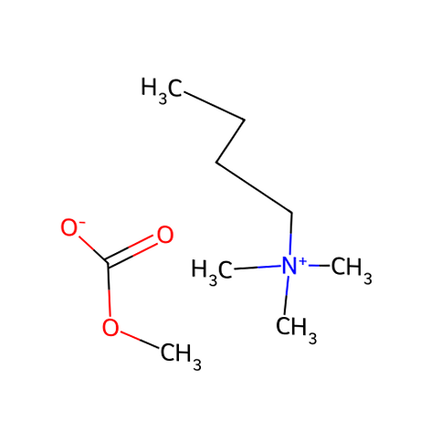 CCCC[N+](C)(C)C.COC(=O)[O-]